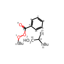 CC(C)(C)OOC(=O)c1ccccc1.CCCCC(CC)C(=O)O